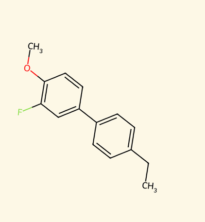 CCc1ccc(-c2ccc(OC)c(F)c2)cc1